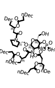 CCCCCCCCCCCC(=O)O[C@H](CCCCCCCCCCC)CC(=O)N[C@H]1[C@H](OC[C@@H]2CCCN2C(=O)C[C@@H](CCCCCCCCCCC)OC(=O)CCCCCCCCCCC)O[C@H](CO)[C@@H](OP(=O)(O)O)[C@@H]1OC(=O)C[C@@H](CCCCCCCCCCC)OC(=O)CCCCCCCCCCC